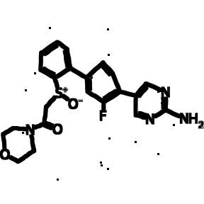 Nc1ncc(-c2ccc(-c3ccccc3[S+]([O-])CC(=O)N3CCOCC3)cc2F)cn1